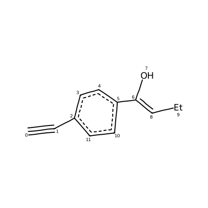 C#Cc1ccc(C(O)=CCC)cc1